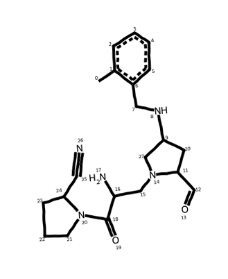 Cc1ccccc1CNC1CC(C=O)N(CC(N)C(=O)N2CCCC2C#N)C1